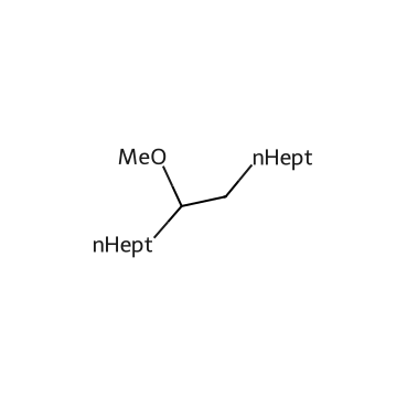 CCCCCCCCC(CCCCCCC)OC